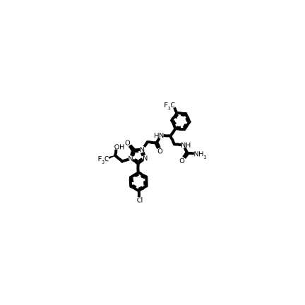 NC(=O)NCC(NC(=O)Cn1nc(-c2ccc(Cl)cc2)n(C[C@H](O)C(F)(F)F)c1=O)c1cccc(C(F)(F)F)c1